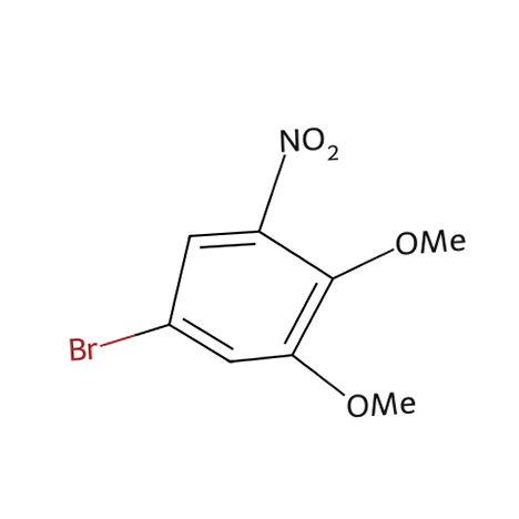 COc1cc(Br)cc([N+](=O)[O-])c1OC